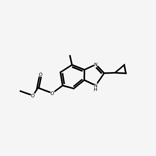 COC(=O)Oc1cc(C)c2nc(C3CC3)[nH]c2c1